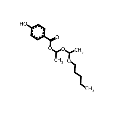 CCCCCOC(C)OC(C)OC(=O)c1ccc(O)cc1